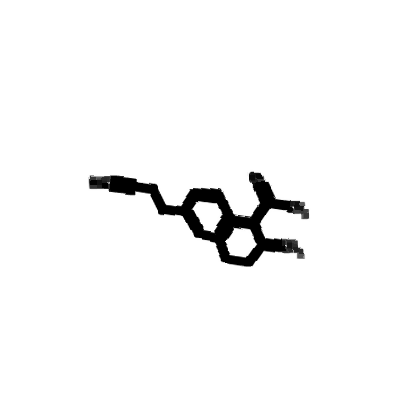 C#CCCc1ccc2c(c1)CCC(=C)C2C(C)=O